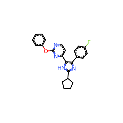 Fc1ccc(-c2nc(C3CCCC3)[nH]c2-c2ccnc(Oc3ccccc3)n2)cc1